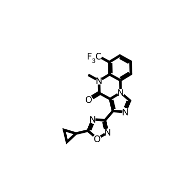 Cn1c(=O)c2c(-c3noc(C4CC4)n3)ncn2c2cccc(C(F)(F)F)c21